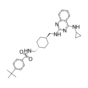 CC(C)(C)c1ccc(S(=O)(=O)NC[C@H]2CC[C@H](CNc3nc(NC4CC4)c4ccccc4n3)CC2)cc1